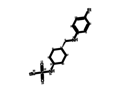 CCc1ccc(NC[C@H]2CC[C@H](NS(=O)(=O)C(C)(C)C)CC2)cc1